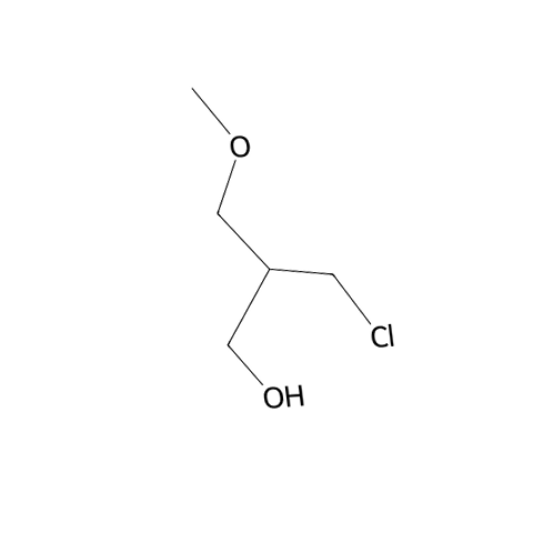 COCC(CO)CCl